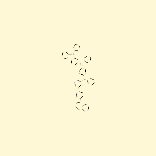 c1ccc(N(c2ccc(N(c3ccccc3)c3ccc4c5ccccc5n(-c5ccccc5)c4c3)cc2)c2cccc(-c3ccc4c(c3)sc3ccc5ccccc5c34)c2)cc1